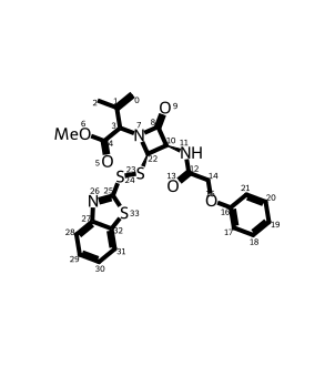 C=C(C)C(C(=O)OC)N1C(=O)[C@@H](NC(=O)COc2ccccc2)[C@H]1SSc1nc2ccccc2s1